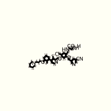 Cc1c(OCCCN2CCCCC2)cccc1-c1ccnc(COc2cc(OCc3cncc(C#N)c3)c(CNC(CO)C(=O)O)cc2Cl)c1C